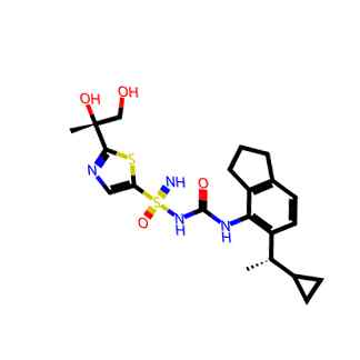 C[C@H](c1ccc2c(c1NC(=O)NS(=N)(=O)c1cnc([C@](C)(O)CO)s1)CCC2)C1CC1